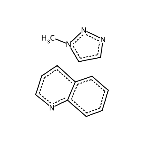 Cn1ccnn1.c1ccc2ncccc2c1